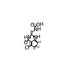 O=C(O)NCC1NC(=O)c2c(Cl)cccc2N1